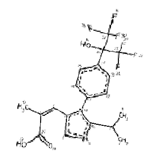 CC(=Cc1cnc(C(C)C)n1-c1ccc(C(O)(C(F)(F)F)C(F)(F)F)cc1)C(=O)O